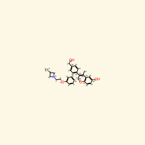 CCC1CN(CCOc2ccc([C@H]3Oc4ccc(O)cc4C(C)=C3c3ccc(CO)cc3)cc2)C1